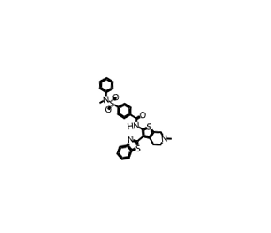 CN1CCc2c(sc(NC(=O)c3ccc(S(=O)(=O)N(C)c4ccccc4)cc3)c2-c2nc3ccccc3s2)C1